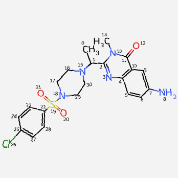 CC(c1nc2ccc(N)cc2c(=O)n1C)N1CCN(S(=O)(=O)c2ccc(Cl)cc2)CC1